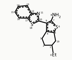 CCC1CCc2c(sc(N)c2-c2nc3ccccc3s2)C1